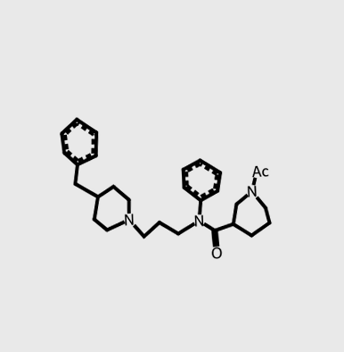 CC(=O)N1CCCC(C(=O)N(CCCN2CCC(Cc3ccccc3)CC2)c2ccccc2)C1